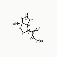 CC(C)(C)OC(=O)N1CC[C@@H]2CNCC21